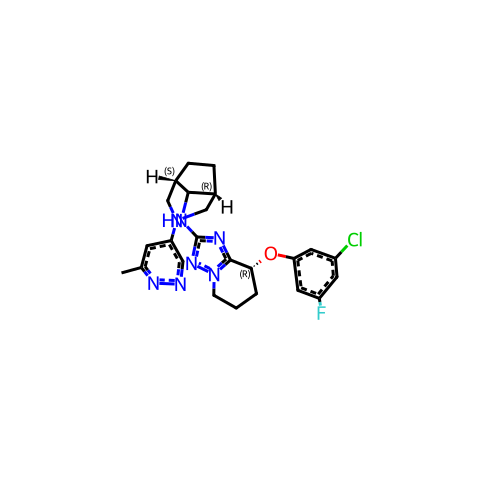 Cc1cc(N2C[C@H]3CC[C@@H](C2)C3Nc2nc3n(n2)CCC[C@H]3Oc2cc(F)cc(Cl)c2)cnn1